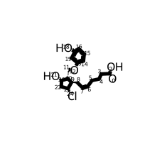 O=C(O)CCC/C=C\C[C@@H]1[C@@H](COc2cccc(O)c2)[C@H](O)C[C@@H]1Cl